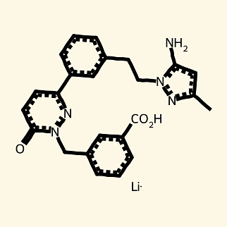 Cc1cc(N)n(CCc2cccc(-c3ccc(=O)n(Cc4cccc(C(=O)O)c4)n3)c2)n1.[Li]